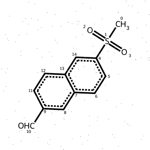 CS(=O)(=O)c1ccc2cc(C=O)ccc2c1